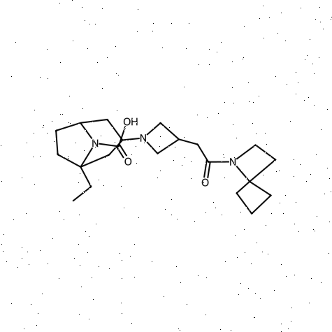 CCC12CCC(CC(N3CC(CC(=O)N4CCC45CCC5)C3)C1)N2C(=O)O